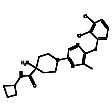 Cc1nc(N2CCC(N)(C(=O)NC3CCC3)CC2)cnc1Sc1cccc(Cl)c1Cl